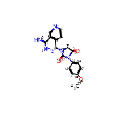 N=C(N)c1cnccc1CN1CC(=O)N(c2ccc(OC(F)(F)F)cc2)C1=O